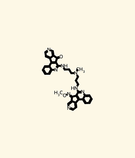 CO/N=C1\c2cnccc2-c2c1c(NCCCN(C)CCCNc1nc3ccccc3c3c1C(=O)c1cnccc1-3)nc1ccccc21